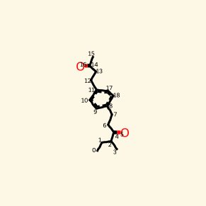 CCC(C)C(=O)CCc1ccc(CCC(C)=O)cc1